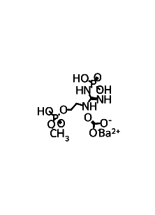 COP(=O)(O)OCCNC(=N)NP(=O)(O)O.O=C([O-])[O-].[Ba+2]